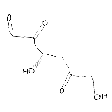 O=CC(=O)[C@@H](O)CC(=O)CO